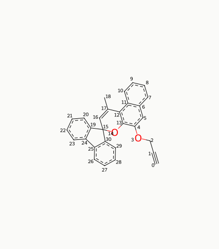 C#CCOc1cc2ccccc2c2c1OC1(C=C2C)c2ccccc2-c2ccccc21